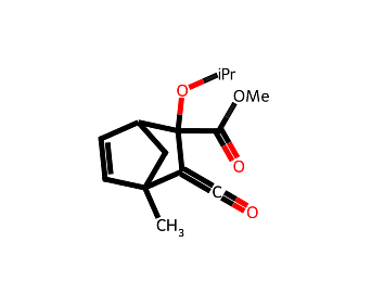 COC(=O)C1(OC(C)C)C(=C=O)C2(C)C=CC1C2